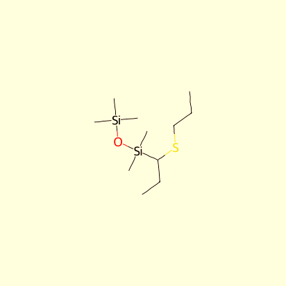 CCCSC(CC)[Si](C)(C)O[Si](C)(C)C